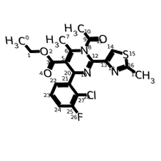 CCOC(=O)C1=C(C)N(C(C)=O)C(c2csc(C)n2)=NC1c1cccc(F)c1Cl